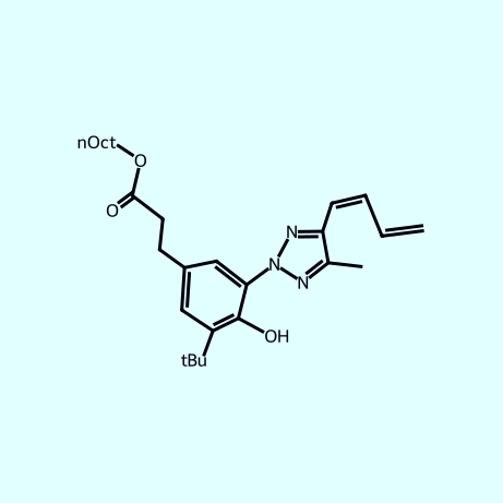 C=C/C=C\c1nn(-c2cc(CCC(=O)OCCCCCCCC)cc(C(C)(C)C)c2O)nc1C